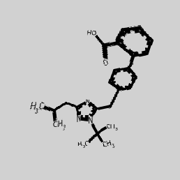 CC(C)Cc1nc(Cc2ccc(-c3ccccc3C(=O)O)cc2)n(C(C)(C)C)n1